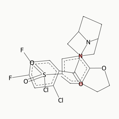 O=C(c1cc(F)c(F)cc1Cl)N1CC2CCC(C1)N2c1cc(S(=O)(=O)Cl)cc2c1OCC2